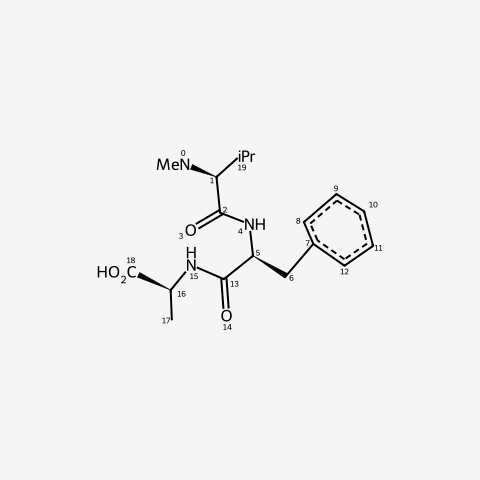 CN[C@H](C(=O)N[C@@H](Cc1ccccc1)C(=O)N[C@@H](C)C(=O)O)C(C)C